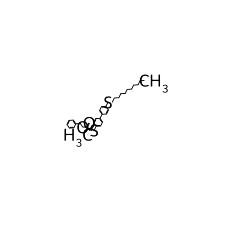 CCCCCCCCCCCSc1ccc(-c2ccc(S[C@H](C)C(=O)OCc3ccccc3)cc2)cc1